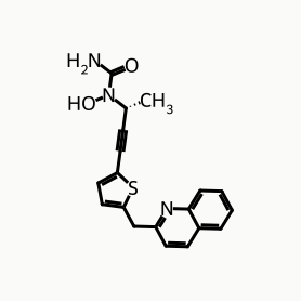 C[C@H](C#Cc1ccc(Cc2ccc3ccccc3n2)s1)N(O)C(N)=O